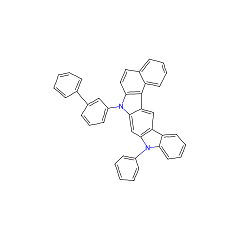 c1ccc(-c2cccc(-n3c4cc5c(cc4c4c6ccccc6ccc43)c3ccccc3n5-c3ccccc3)c2)cc1